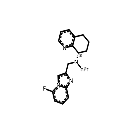 CCCN(Cc1cn2c(F)cccc2n1)[C@H]1CCCc2cccnc21